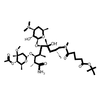 CO[C@]1(C)C[C@H](O[C@@H]([C@H](C)[C@@H](O[C@@H]2O[C@H](C)C[C@H](N(C)C)[C@H]2O)[C@](C)(O)C[C@@H](C)CN(C)C(=O)CCCC(=O)OC(C)(C)C)[C@@H](C)C(N)=O)O[C@@H](C)[C@@H]1OC(C)=O